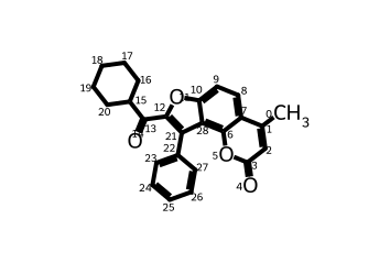 Cc1cc(=O)oc2c1ccc1oc(C(=O)C3CCCCC3)c(-c3ccccc3)c12